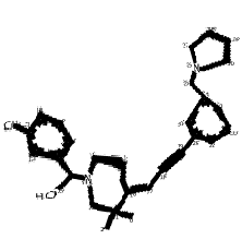 CC1(C)CN(C(O)c2cccc(Cl)c2)CC/C1=C\C#Cc1cccc(CN2CCCC2)c1